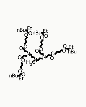 CCCCC(CC)C(=O)OCCCCOC(=O)CCN(CCCN(C)CCCN(CCC(=O)OCCCCOC(=O)C(CC)CCCC)CCC(=O)OCCCCOC(=O)C(CC)CCCC)CCC(=O)OCCCCOC(=O)C(CC)CCCC